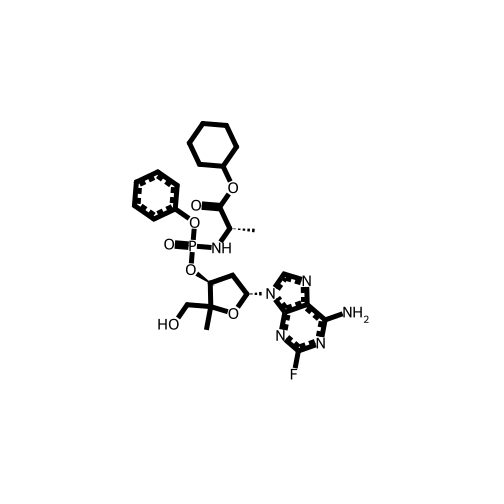 C[C@H](NP(=O)(Oc1ccccc1)O[C@H]1C[C@H](n2cnc3c(N)nc(F)nc32)OC1(C)CO)C(=O)OC1CCCCC1